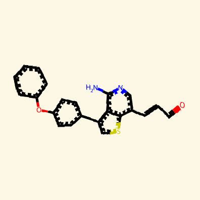 Nc1ncc(C=CC=O)c2scc(-c3ccc(Oc4ccccc4)cc3)c12